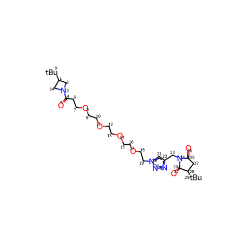 CC(C)(C)C1CN(C(=O)CCOCCOCCOCCOCCn2cc(CN3C(=O)CC(C(C)(C)C)C3=O)nn2)C1